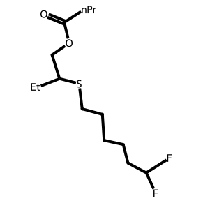 CCCC(=O)OCC(CC)SCCCCCC(F)F